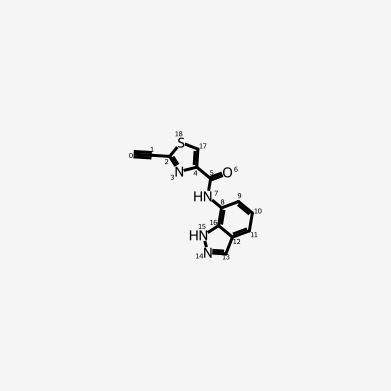 C#Cc1nc(C(=O)Nc2cccc3cn[nH]c23)cs1